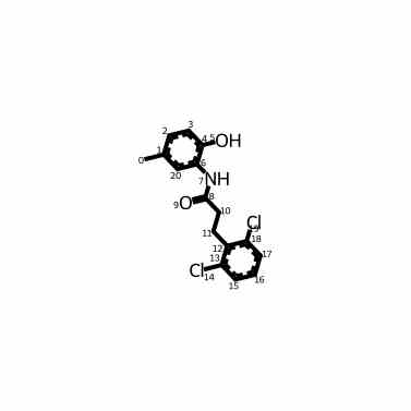 Cc1ccc(O)c(NC(=O)CCc2c(Cl)cccc2Cl)c1